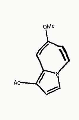 COc1ccn2ccc(C(C)=O)c2c1